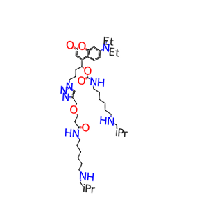 CCN(CC)c1ccc2c(C(CCCn3cc(COCCC(=O)NCCCCCCNCC(C)C)nn3)OC(=O)NCCCCCCNCC(C)C)cc(=O)oc2c1